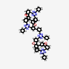 c1ccc(-c2nc(-c3cccc(-c4ccc(-c5nc(-c6ccccc6)nc(-c6ccccc6)n5)c5c4oc4ccc(-c6ccc7oc8cccc(-c9nc(-c%10ccccc%10)nc(-c%10ccccc%10)n9)c8c7c6)cc45)c3)nc(-c3ccc4oc5cccc(-c6ccc7oc8cccc(-c9nc(-c%10ccccc%10)nc(-c%10ccccc%10)n9)c8c7c6)c5c4c3)n2)cc1